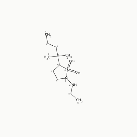 CCCC(C)(C)C1CCN(NCC)S1(=O)=O